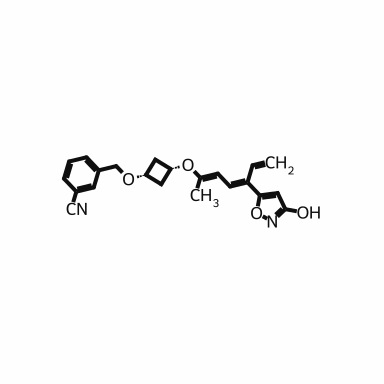 C=C/C(=C\C=C(/C)O[C@H]1C[C@@H](OCc2cccc(C#N)c2)C1)c1cc(O)no1